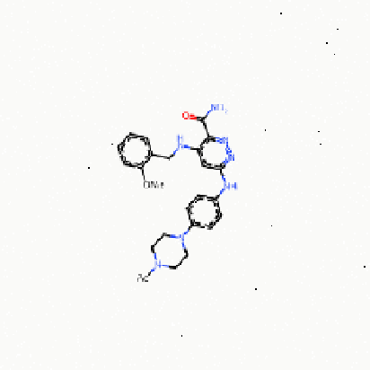 COc1ccccc1CNc1cc(Nc2ccc(N3CCN(C(C)=O)CC3)cc2)nnc1C(N)=O